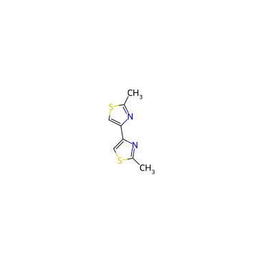 Cc1nc(-c2csc(C)n2)cs1